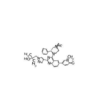 CC(=O)N1CCN(c2nc(-c3cnn(CC(C)(C)O)c3)nc3ccc(-c4ccc(=O)n(C)c4)cc23)C(c2ccccc2)C1